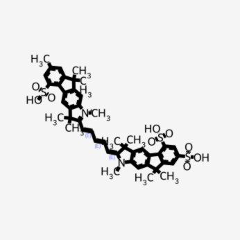 Cc1cc2c(c(S(=O)(=O)O)c1)-c1cc3c(cc1C2(C)C)[N+](C)=C(/C=C/C=C/C=C1/N(C)c2cc4c(cc2C1(C)C)-c1c(cc(S(=O)(=O)O)cc1S(=O)(=O)O)C4(C)C)C3(C)C